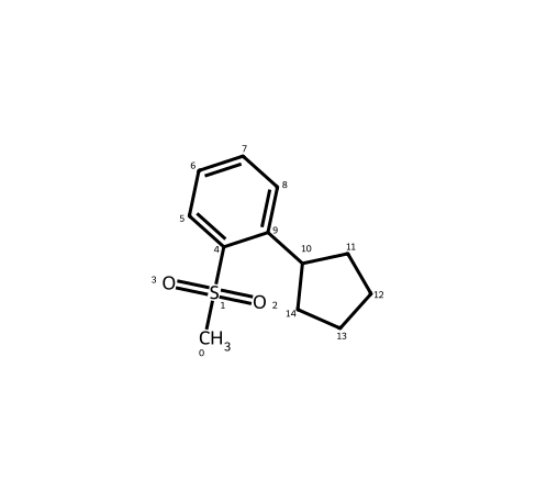 CS(=O)(=O)c1ccccc1C1CCCC1